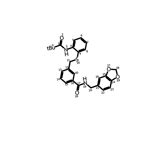 CC(C)(C)C(=O)Nc1ccccc1SCc1cccc(C(=O)NCc2ccc3c(c2)OCO3)c1